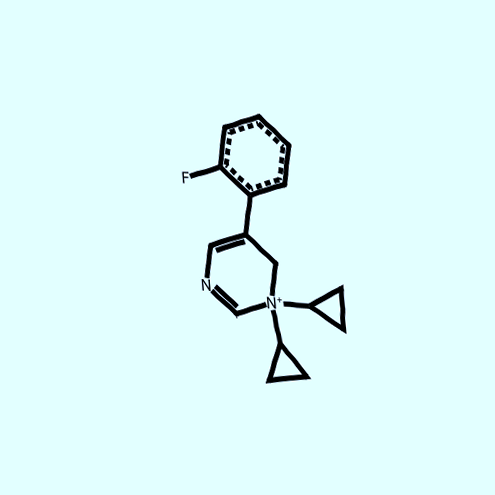 Fc1ccccc1C1=CN=[C][N+](C2CC2)(C2CC2)C1